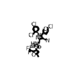 Cc1cc(S(=O)(=O)NCc2nn(-c3ccc(Cl)cc3Cl)c(-c3ccc(Cl)cc3)c2C#N)c(C(F)(F)F)o1